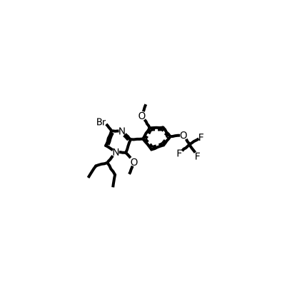 CCC(CC)N1C=C(Br)N=C(c2ccc(OC(F)(F)F)cc2OC)C1OC